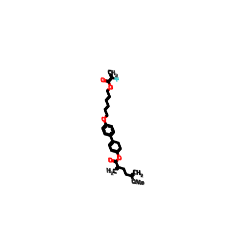 C=C(CCC(=C)C(=O)OC1=CC=C(c2ccc(OCCCCCCOC(=O)C(=C)F)cc2)CC1)OC